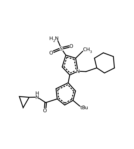 Cc1c(S(N)(=O)=O)cc(-c2cc(C(=O)NC3CC3)cc(C(C)(C)C)c2)n1CC1CCCCC1